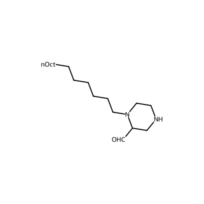 CCCCCCCCCCCCCCN1CCNCC1C=O